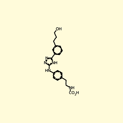 O=C(O)NCCc1ccc(Nc2nnc(-c3cccc(CCCO)c3)[nH]2)cc1